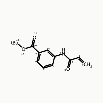 C=CC(=O)Nc1cccc(C(=O)OC(C)(C)C)c1